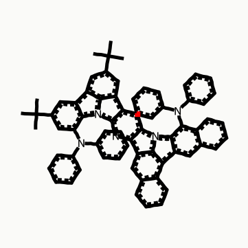 CC(C)(C)c1cc(N(c2ccccc2)c2ccccc2)c2c(c1)c1cc(C(C)(C)C)cc3c4cc5c(nc4n2c31)c1cc2ccccc2c2c3cc4ccccc4c(N(c4ccccc4)c4ccccc4)c3n5c12